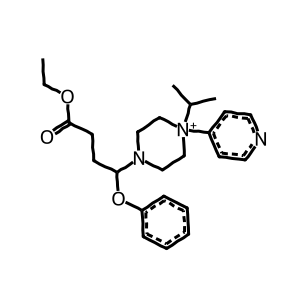 CCOC(=O)CCC(Oc1ccccc1)N1CC[N+](c2ccncc2)(C(C)C)CC1